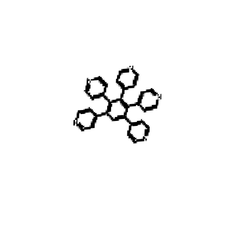 c1cc(-c2cc(-c3ccncc3)c(-c3ccncc3)c(-c3ccncc3)c2-c2ccncc2)ccn1